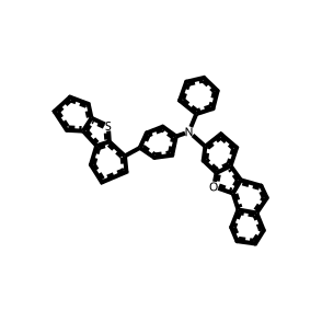 c1ccc(N(c2ccc(-c3cccc4c3sc3ccccc34)cc2)c2ccc3c(c2)oc2c4ccccc4ccc32)cc1